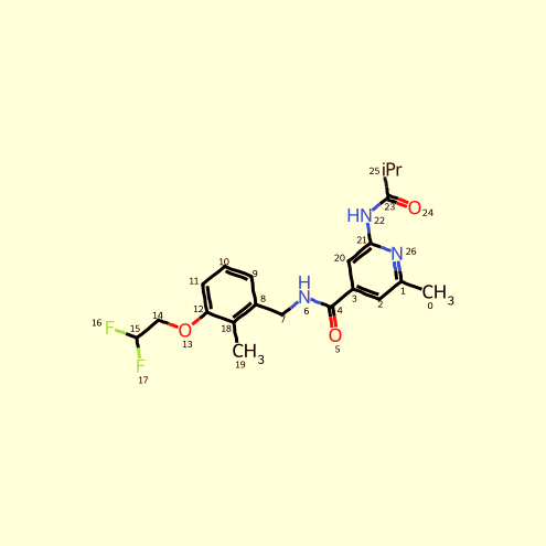 Cc1cc(C(=O)NCc2cccc(OCC(F)F)c2C)cc(NC(=O)C(C)C)n1